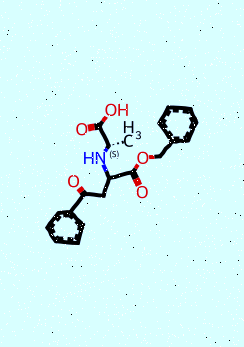 C[C@H](NC(CC(=O)c1ccccc1)C(=O)OCc1ccccc1)C(=O)O